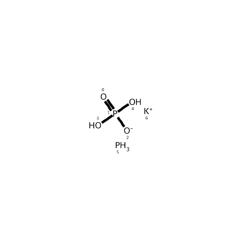 O=P([O-])(O)O.P.[K+]